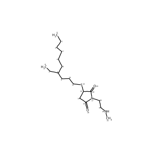 CCCCCCC(CC)CCCSC1CC(=O)N(CCNC)C1=O